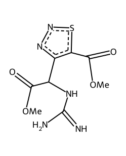 COC(=O)c1snnc1C(NC(=N)N)C(=O)OC